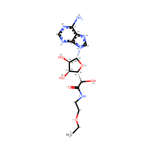 CCOCCNC(=O)C(O)[C@H]1O[C@@H](n2cnc3c(N)ncnc32)[C@H](O)[C@@H]1O